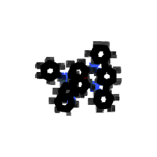 c1ccc(-c2cccc(-n3c4ccccc4c4ccc5c6ccccc6n(-c6ccc7c(c6)c6cnccc6n7-c6ccccc6)c5c43)c2)cc1